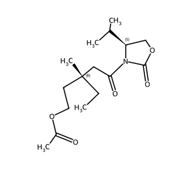 CC[C@](C)(CCOC(C)=O)CC(=O)N1C(=O)OC[C@@H]1C(C)C